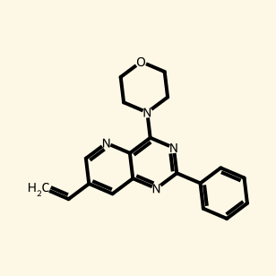 C=Cc1cnc2c(N3CCOCC3)nc(-c3ccccc3)nc2c1